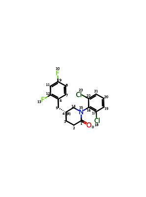 O=C1CC[C@H](Cc2ccc(F)cc2F)CN1c1c(Cl)cccc1Cl